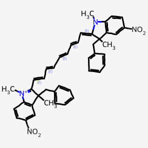 CN1/C(=C/C=C/C=C/C=C/C=C/C2=[N+](C)c3ccc([N+](=O)[O-])cc3C2(C)Cc2ccccc2)C(C)(Cc2ccccc2)c2cc([N+](=O)[O-])ccc21